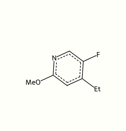 [CH2]Cc1cc(OC)ncc1F